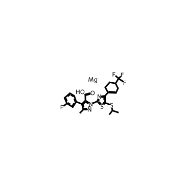 Cc1nn(-c2nc(C3=CCC(C(F)(F)F)CC3)c(SC(C)C)s2)c(C(=O)O)c1-c1cccc(F)c1.[Mg]